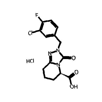 Cl.O=C(O)[C@H]1CCCc2nn(Cc3ccc(F)c(Cl)c3)c(=O)n21